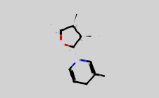 CC[C@H]1O[C@@H](N2C=CCC(C(C)=O)=C2)[C@H](OC(C)=O)[C@@H]1C